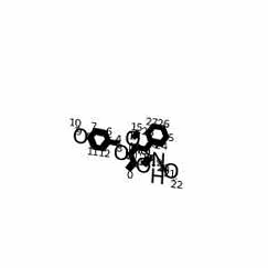 C=C[C@@H](OCc1ccc(OC)cc1)[C@@H](OC)[C@@H](C(=O)NCOC)C1=CCCCC1